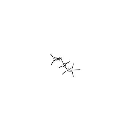 CN([Si](C)(C)C)[Si](C)(C)N=[Si](C)C